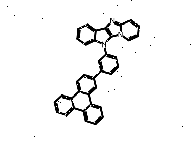 c1cc(-c2ccc3c4ccccc4c4ccccc4c3c2)cc(-n2c3ccccc3c3nc4ccccn4c32)c1